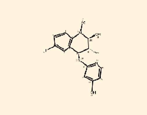 CC(=O)N1c2ccc(F)cc2[C@H](Nc2cc(O)ccn2)[C@@H](C)[C@@H]1O